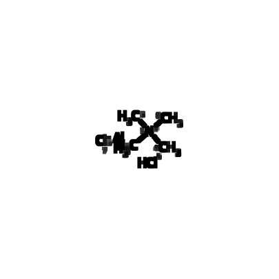 C[N+](C)(C)C.Cl.[AlH3].[Cl-]